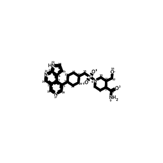 NC(=O)C1CCN(S(=O)(=O)CC2CCC(c3cncc4cnc5[nH]ccc5c34)CC2)CC1C[O]